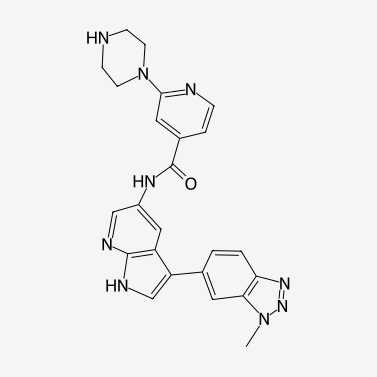 Cn1nnc2ccc(-c3c[nH]c4ncc(NC(=O)c5ccnc(N6CCNCC6)c5)cc34)cc21